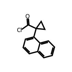 O=C(Cl)C1(c2cccc3ccccc23)CC1